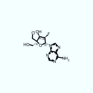 Nc1ncnc2c1ncn2[C@@H]1O[C@@](CO)(CCl)[C@@H](O)[C@H]1F